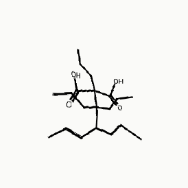 CCCC(CCC)C(CCC)(CCC)C(CCC)(C(=O)O)C(=O)O